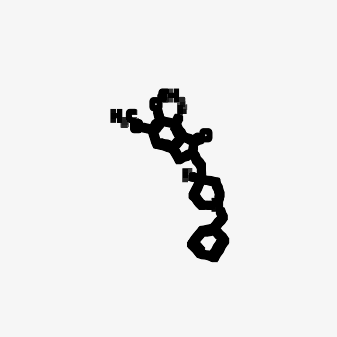 COc1cc2c(c(F)c1OC)C(=O)C(CC1(F)CCN(Cc3ccccc3)CC1)C2